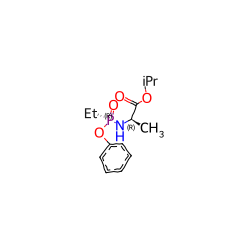 CC[P@](=O)(N[C@H](C)C(=O)OC(C)C)Oc1ccccc1